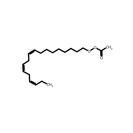 CC/C=C\C/C=C\C/C=C\CCCCCCCCOOC(C)=O